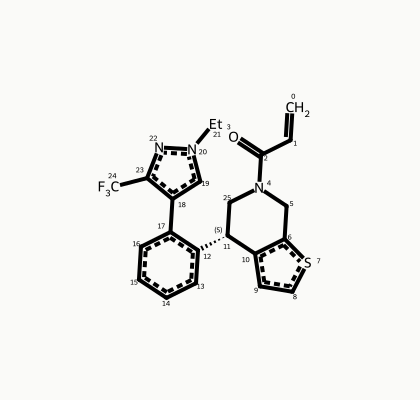 C=CC(=O)N1Cc2sccc2[C@H](c2ccccc2-c2cn(CC)nc2C(F)(F)F)C1